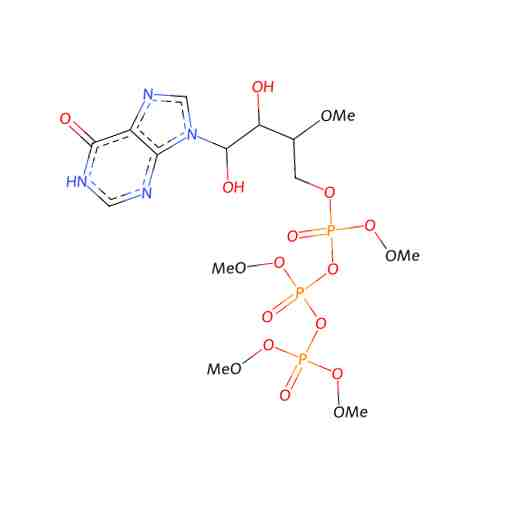 COOP(=O)(OCC(OC)C(O)C(O)n1cnc2c(=O)[nH]cnc21)OP(=O)(OOC)OP(=O)(OOC)OOC